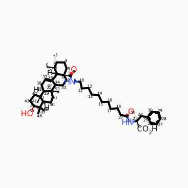 C[C@H]1[C@H](C)CC[C@]2(C(=O)NCCCCCCCCCCC(=O)N[C@@H](Cc3ccccc3)C(=O)O)CC[C@]3(C)C(=CC[C@@H]4[C@@]5(C)CC[C@H](O)C(C)(C)[C@@H]5CC[C@]43C)[C@H]12